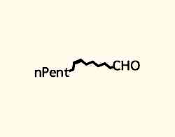 CCCCCC/C=C\CCCCCC=O